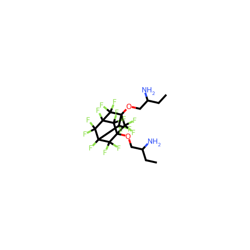 CCC(N)COC12C(F)(F)C3(F)C(F)(F)C(F)(C1(F)F)C(F)(F)C(OCC(N)CC)(C3(F)F)C2(F)F